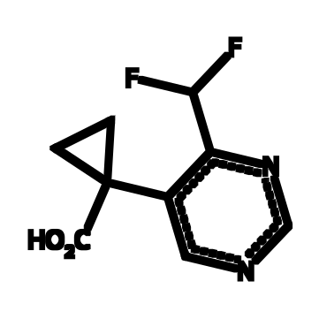 O=C(O)C1(c2cncnc2C(F)F)CC1